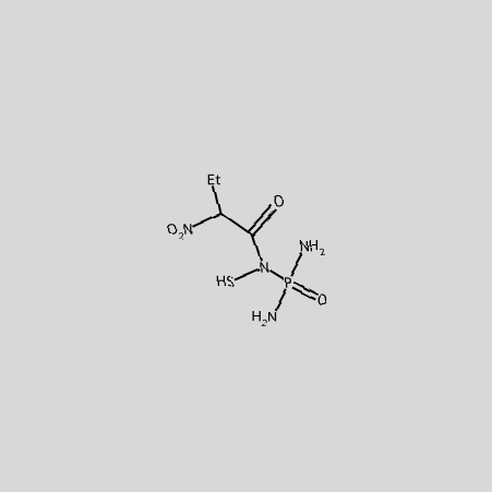 CCC(C(=O)N(S)P(N)(N)=O)[N+](=O)[O-]